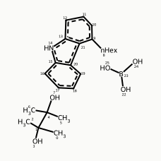 CC(C)(O)C(C)(C)O.CCCCCCc1cccc2[nH]c3ccccc3c12.OB(O)O